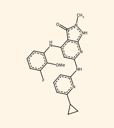 COc1c(F)cccc1Nc1cc(Nc2cccc(C3CC3)n2)nc2[nH]n(C)c(=O)c12